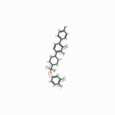 Cc1ccc(-c2ccc(C3CCC(C(F)(F)Oc4ccc(F)c(F)c4)CC3)c(F)c2F)cc1